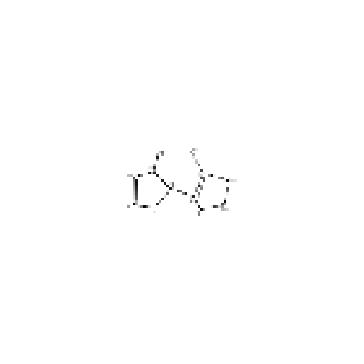 CC1=C([C]2CC=CC2C)CCC1